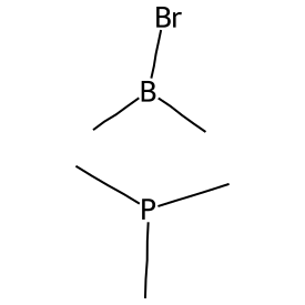 CB(C)Br.CP(C)C